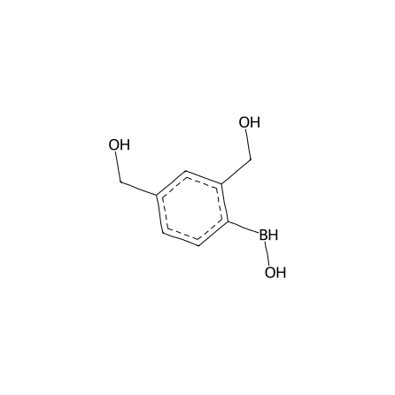 OBc1ccc(CO)cc1CO